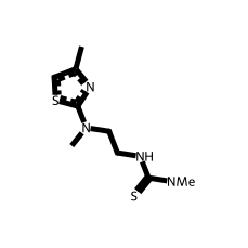 CNC(=S)NCCN(C)c1nc(C)cs1